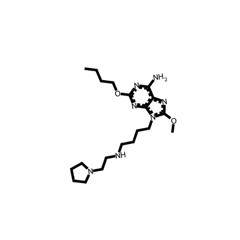 CCCCOc1nc(N)c2nc(OC)n(CCCCNCCN3CCCC3)c2n1